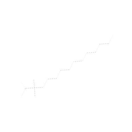 CCCCCCCCCCCCC(C)(C)[C](C)C